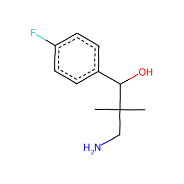 CC(C)(CN)C(O)c1ccc(F)cc1